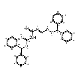 N=C(N=COOC(c1ccccc1)c1ccccc1)NC(=O)OC(c1ccccc1)c1ccccc1